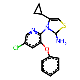 NC1SC=C(C2CC2)N1c1ncc(Cl)cc1Oc1ccccc1